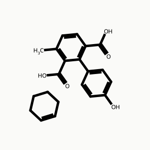 C1=CCCCC1.Cc1ccc(C(=O)O)c(-c2ccc(O)cc2)c1C(=O)O